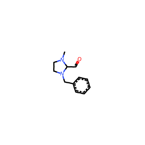 CN1CCN(Cc2ccccc2)C1C=O